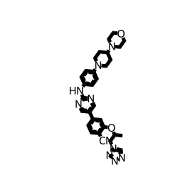 CC(Cn1cnnn1)Oc1cc(-c2cnc(Nc3ccc(N4CCC(N5CCOCC5)CC4)cc3)nc2)ccc1C#N